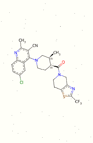 Cc1nc2ccc(Cl)cc2c(N2CC[C@H](C(=O)N3CCc4sc(C(F)(F)F)nc4C3)[C@H](C)C2)c1C#N